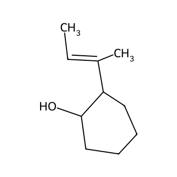 CC=C(C)C1CCCCC1O